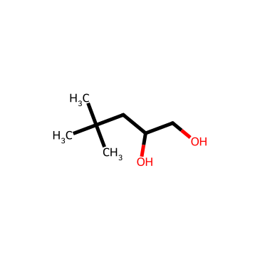 CC(C)(C)CC(O)CO